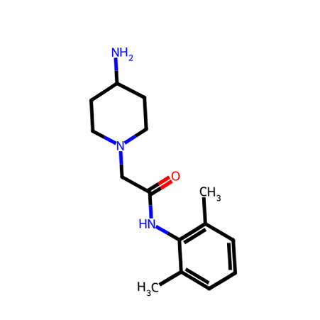 Cc1cccc(C)c1NC(=O)CN1CCC(N)CC1